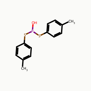 Cc1ccc(SP(O)Sc2ccc(C)cc2)cc1